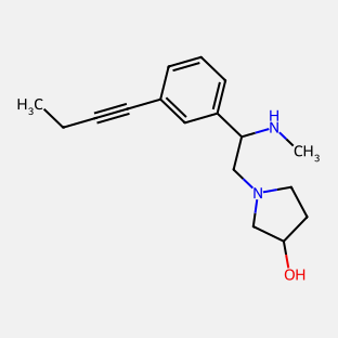 CCC#Cc1cccc(C(CN2CCC(O)C2)NC)c1